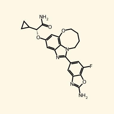 NC(=O)[C@H](Oc1cc2c3c(c1)nc(-c1cc(F)c4oc(N)nc4c1)n3CCCCO2)C1CC1